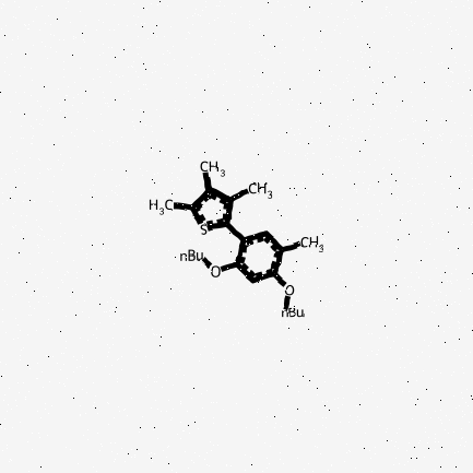 CCCCOc1cc(OCCCC)c(-c2sc(C)c(C)c2C)cc1C